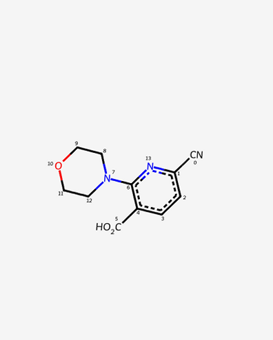 N#Cc1ccc(C(=O)O)c(N2CCOCC2)n1